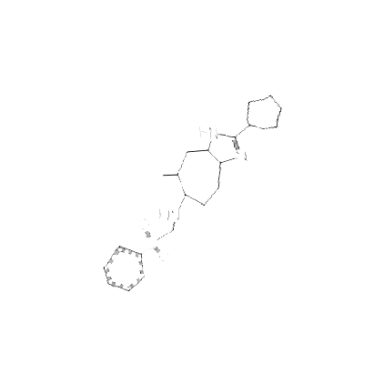 CC1CC2NC(C3CCCC3)=NC2CCC1NCS(=O)(=O)c1ccccc1